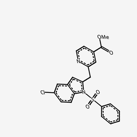 COC(=O)c1ccnc(Cc2cc3cc(Cl)ccc3n2S(=O)(=O)c2ccccc2)c1